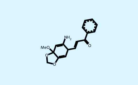 COC12C=C(N)C(/C=C/C(=O)c3ccccc3)C=C1OCO2